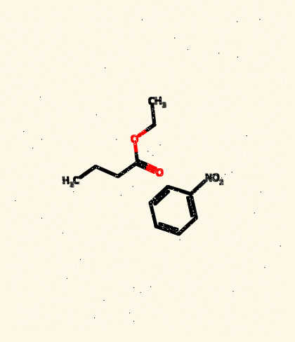 CCCC(=O)OCC.O=[N+]([O-])c1ccccc1